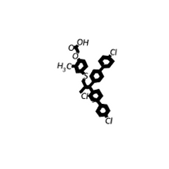 CCC(CSc1ccc(OCC(=O)O)c(C)c1)=C(c1ccc(-c2ccc(Cl)cc2)cc1)c1ccc(-c2ccc(Cl)cc2)cc1